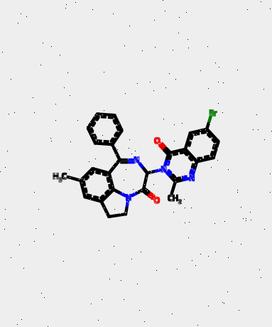 Cc1cc2c3c(c1)C(c1ccccc1)=NC(n1c(C)nc4ccc(Br)cc4c1=O)C(=O)N3CC2